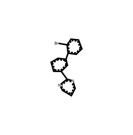 Brc1ccccc1-c1cccc(-c2ncccn2)c1